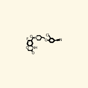 N#Cc1ccc(OCC2CCN(C(=O)c3cc4c(cc3F)OCC(=O)N4)CC2)c(Cl)c1